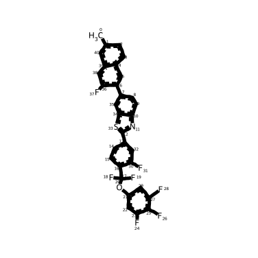 Cc1ccc2cc(-c3ccc4nc(-c5ccc(C(F)(F)Oc6cc(F)c(F)c(F)c6)c(F)c5)sc4c3)c(F)cc2c1